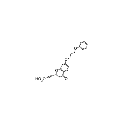 O=C(O)C#Cc1cc(=O)c2ccc(OCCCOc3ccccc3)cc2o1